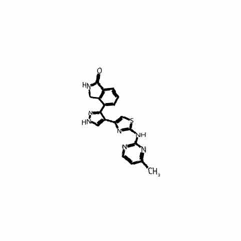 Cc1ccnc(Nc2nc(-c3c[nH]nc3-c3cccc4c3CNC4=O)cs2)n1